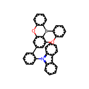 c1ccc2c(c1)Oc1cc(-c3ccccc3-n3c4ccccc4c4ccccc43)cc3c1B2c1ccccc1O3